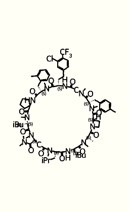 CC[C@H](C)[C@@H]1NC(=O)[C@H](CC(C)C)N(C)C(=O)C[C@@H](C(=O)N(C)C)N(C)C(=O)[C@H]([C@@H](C)CC)N(C)C(=O)C2(CCCC2)NC(=O)[C@H](Cc2ccccc2C)N(C)C(=O)[C@H](CCc2ccc(C(F)(F)F)c(Cl)c2)NC(=O)CN(C)C(=O)[C@H](Cc2ccc(C)cc2)N(C)C(=O)[C@@H]2CCN2C(=O)[C@H](C)N(C)C1=O